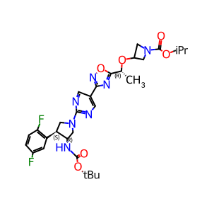 CC(C)OC(=O)N1CC(O[C@H](C)c2nc(-c3cnc(N4C[C@H](NC(=O)OC(C)(C)C)[C@@H](c5cc(F)ccc5F)C4)nc3)no2)C1